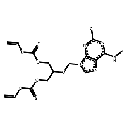 C=COC(=S)OCC(COC(=S)OC=C)OCn1cnc2c(NC)nc(Cl)nc21